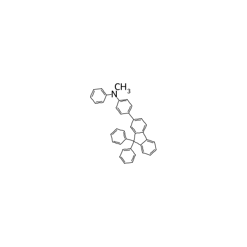 CN(c1ccccc1)c1ccc(-c2ccc3c(c2)C(c2ccccc2)(c2ccccc2)c2ccccc2-3)cc1